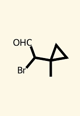 CC1(C(Br)C=O)CC1